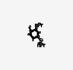 CCCSc1ccc(C)c(CCC)c1